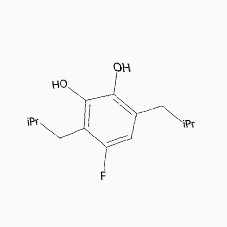 CC(C)Cc1cc(F)c(CC(C)C)c(O)c1O